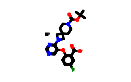 CC(C)(C)OC(=O)N1CCC2(CC1)CN(c1ncncc1Oc1ccc(F)cc1C(=O)[O-])C2.[Li+]